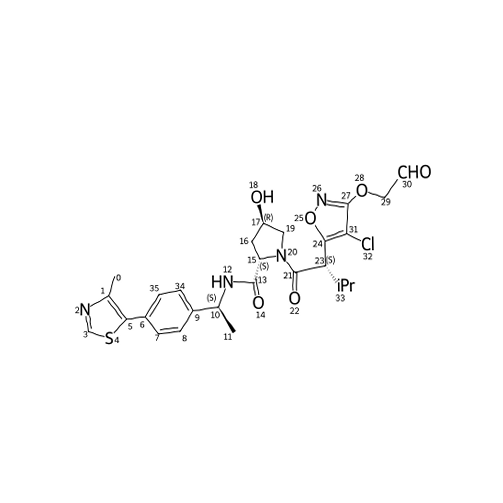 Cc1ncsc1-c1ccc([C@H](C)NC(=O)[C@@H]2C[C@@H](O)CN2C(=O)[C@H](c2onc(OCC=O)c2Cl)C(C)C)cc1